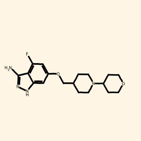 Nc1n[nH]c2cc(OCC3CCN(C4CCOCC4)CC3)cc(F)c12